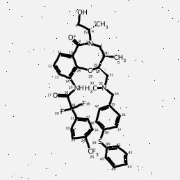 C[C@@H]1CN([C@@H](C)CO)C(=O)c2cccc(NC(=O)C(F)(F)c3ccc(C(F)(F)F)cc3)c2O[C@@H]1CN(C)Cc1ccc(Sc2ccccc2)cc1